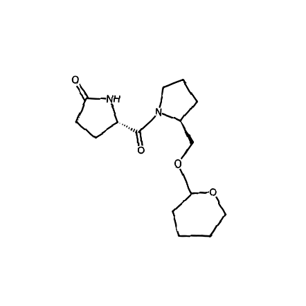 O=C1CC[C@@H](C(=O)N2CCC[C@H]2COC2CCCCO2)N1